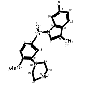 COc1ccc([S+]([O-])n2cc(C)c3ccc(F)cc32)cc1N1CCNCC1